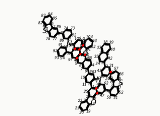 c1cc(-c2ccc3cc(-c4ccc(-c5ccc6oc7ccccc7c6c5)c(N(c5cccc(-c6ccc7ccccc7c6)c5)c5cccc(-c6cccc7sc8ccccc8c67)c5)c4)ccc3c2)cc(N(c2cccc(-c3ccc4sc5ccccc5c4c3)c2)c2ccccc2-c2ccc3oc4ccccc4c3c2)c1